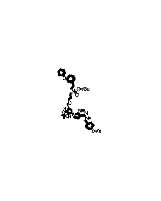 COc1ccc(CN(C)c2ncnc3c2ccn3[C@@H]2C[C@H](COCCCN(CCc3cccc(Oc4ccccc4)c3)C(=O)OC(C)(C)C)[C@H]3OC(C)(C)O[C@H]32)cc1